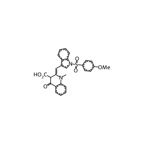 COc1ccc(S(=O)(=O)n2cc(C=C3C(C(=O)O)C(=O)c4ccccc4N3C)c3ccccc32)cc1